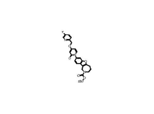 CC(C)(C)OC(=O)N1CCCc2oc3cc(-n4ccc(OCc5ccc(F)cn5)cc4=O)ccc3c2C1